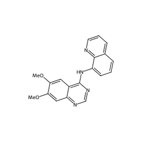 COc1cc2ncnc(Nc3cccc4cccnc34)c2cc1OC